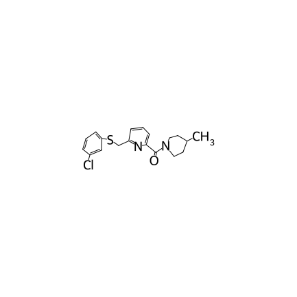 CC1CCN(C(=O)c2cccc(CSc3cccc(Cl)c3)n2)CC1